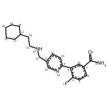 NC(=O)c1ccc(F)c(-c2ccc(CNCCC3CCCCC3)cn2)c1